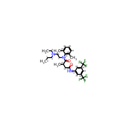 CCCN(CC)CCN(C(=O)C(C)CC(=O)Nc1cc(C(F)(F)F)cc(C(F)(F)F)c1)c1c(C)cccc1C